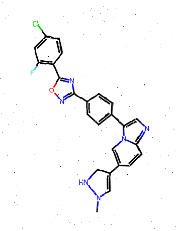 CN1C=C(c2ccc3ncc(-c4ccc(-c5noc(-c6ccc(Cl)cc6F)n5)cc4)n3c2)CN1